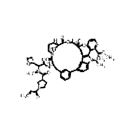 C=CC(=O)N1CC[C@H](C(=O)N(C)[C@H](C(=O)N[C@H]2Cc3cccc(c3)-c3ccc4c(c3)c(c(-c3cccnc3[C@H](C)OC)n4CC)CC(C)(C)COC(=O)[C@@H]3CCCN(N3)C2=O)[C@H]2CCO2)C1